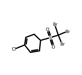 O=S(=O)(C1C=CC(Cl)=CC1)C(Br)(Br)Br